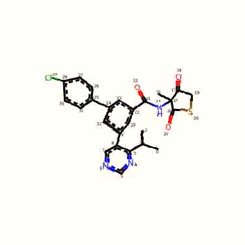 CC(C)c1ncncc1-c1cc(C(=O)NC2(C)C(=O)CSC2=O)cc(-c2ccc(Cl)cc2)c1